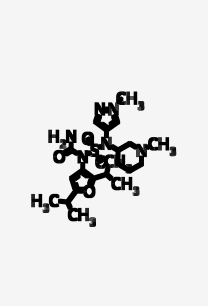 CC(C)c1cc(N(C(N)=O)S(=O)(=O)N(c2cnn(C)c2)C2CCCN(C)C2)c(C(C)C)o1